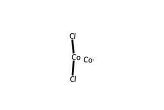 [Cl][Co][Cl].[Co]